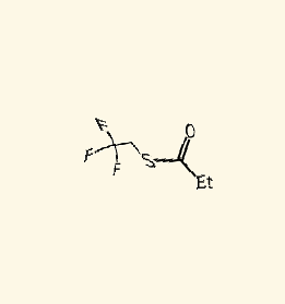 CCC(=O)SCC(F)(F)F